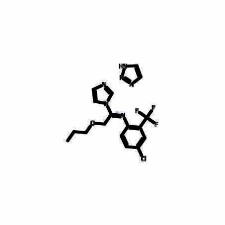 CCCOC/C(=N\c1ccc(Cl)cc1C(F)(F)F)n1ccnc1.c1c[nH]nn1